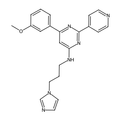 COc1cccc(-c2cc(NCCCn3ccnc3)nc(-c3ccncc3)n2)c1